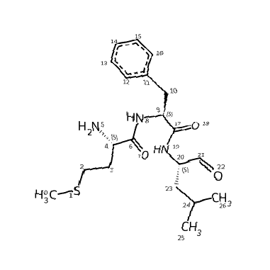 CSCC[C@H](N)C(=O)N[C@@H](Cc1ccccc1)C(=O)N[C@H]([C]=O)CC(C)C